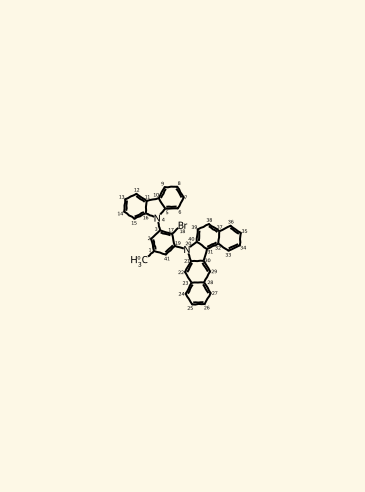 Cc1cc(-n2c3ccccc3c3ccccc32)c(Br)c(-n2c3cc4ccccc4cc3c3c4ccccc4ccc32)c1